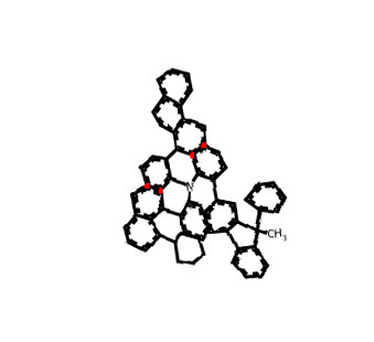 CC1(c2ccccc2)c2ccccc2-c2ccc(-c3ccccc3N(c3ccccc3-c3cccc4c3ccc3ccccc34)c3ccccc3-c3cccc4cccc(C5CCCCC5)c34)cc21